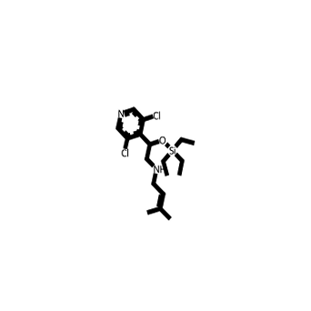 CC[Si](CC)(CC)OC(CNCC=C(C)C)c1c(Cl)cncc1Cl